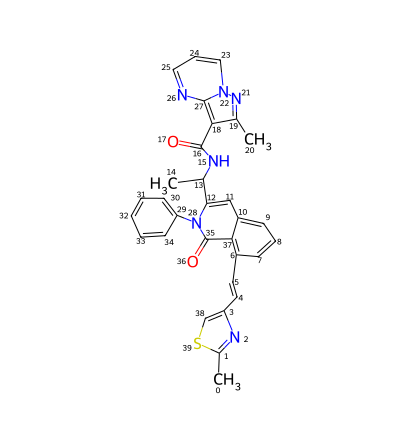 Cc1nc(/C=C/c2cccc3cc(C(C)NC(=O)c4c(C)nn5cccnc45)n(-c4ccccc4)c(=O)c23)cs1